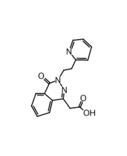 O=C(O)Cc1nn(CCc2ccccn2)c(=O)c2ccccc12